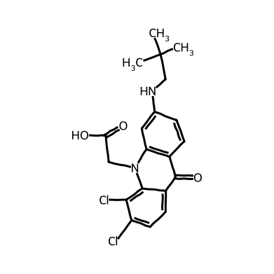 CC(C)(C)CNc1ccc2c(=O)c3ccc(Cl)c(Cl)c3n(CC(=O)O)c2c1